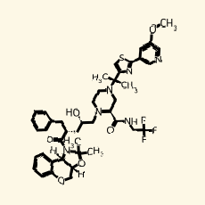 COc1cncc(-c2nc(C(C)(C)N3CCN(C[C@@H](O)C[C@@H](Cc4ccccc4)C(=O)N4[C@H]5c6ccccc6OC[C@H]5OC4(C)C)[C@H](C(=O)NCC(F)(F)F)C3)cs2)c1